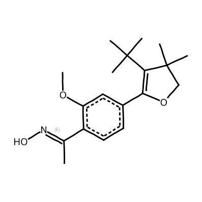 COc1cc(C2=C(C(C)(C)C)C(C)(C)CO2)ccc1/C(C)=N/O